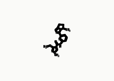 COc1nn(C)cc1C(=O)Nc1cccc(-c2ncc3n2C(C)CC3)n1